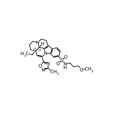 CC[C@@]12C=C(c3nc(C)no3)n3c4c(c5ccc(S(=O)(=O)NCCCOC)cc53)CCN(CCC1)[C@H]42